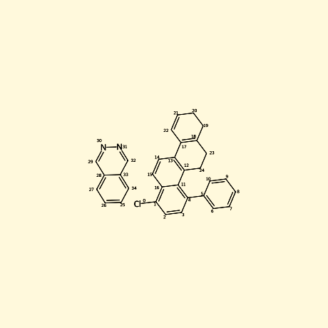 Clc1ccc(-c2ccccc2)c2c3c(ccc12)C1=C(CCC=C1)CC3.c1ccc2cnncc2c1